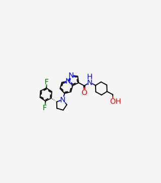 O=C(NC1CCC(CO)CC1)c1cnn2ccc(N3CCC[C@@H]3c3cc(F)ccc3F)cc12